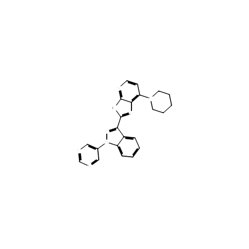 c1ccc2c(c1)c(-c1nc3c(N4CCCCC4)ccnc3[nH]1)nn2-c1cncnc1